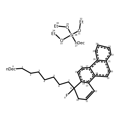 CCCCCCCCCCCCCCCCCC1(F)CC=Cc2c1ccc1c2ccc2ccccc21.CCCCCCCCCC[Si](OCC)(OCC)OCC